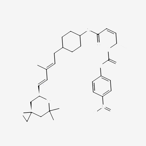 CC(/C=C/[C@@H]1C[C@]2(CO2)CC(C)(C)O1)=C\CC1CCC(NC(=O)/C=C\[C@H](C)OC(=O)Oc2ccc([N+](=O)[O-])cc2)CC1